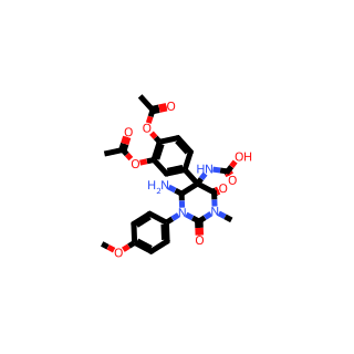 COc1ccc(N2C(=O)N(C)C(=O)C(NC(=O)O)(c3ccc(OC(C)=O)c(OC(C)=O)c3)C2N)cc1